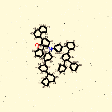 c1ccc(-c2ccc(-c3ccccc3-c3ccc(N(c4ccc(-c5cccc(-c6cccc7ccccc67)c5)cc4)c4ccc(-c5cccc6ccccc56)c5oc6ccccc6c45)cc3)cc2-c2ccccc2)cc1